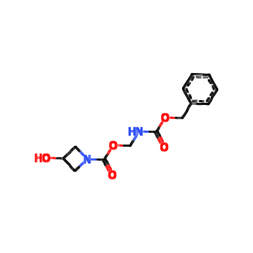 O=C(NCOC(=O)N1CC(O)C1)OCc1ccccc1